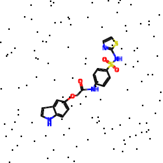 O=C(COc1ccc2[nH]ccc2c1)Nc1ccc(S(=O)(=O)Nc2nccs2)cc1